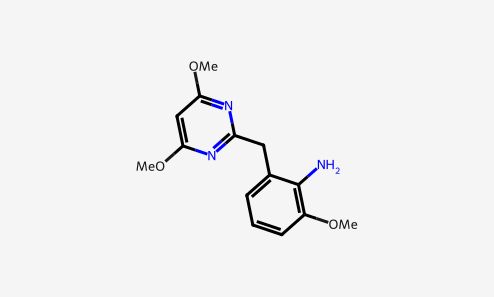 COc1cc(OC)nc(Cc2cccc(OC)c2N)n1